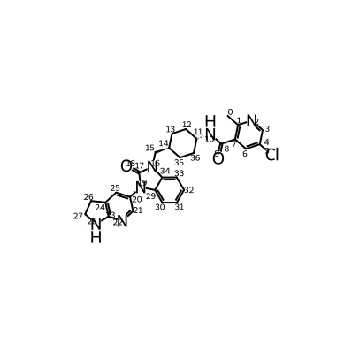 Cc1ncc(Cl)cc1C(=O)N[C@H]1CC[C@H](Cn2c(=O)n(-c3cnc4c(c3)CCN4)c3ccccc32)CC1